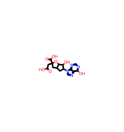 O=C(O)CC1(C(=O)O)CC2CC(n3cnc4c(O)ncnc43)C(O)C2O1